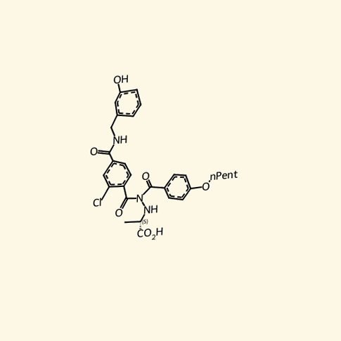 CCCCCOc1ccc(C(=O)N(N[C@@H](C)C(=O)O)C(=O)c2ccc(C(=O)NCc3cccc(O)c3)cc2Cl)cc1